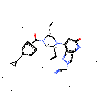 CC[C@@H]1CN(c2cc(=O)n(C)c3cn(CC#N)nc23)[C@@H](CC)CN1C(=O)c1ccc(C2CC2)cc1